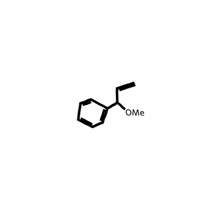 [CH2]OC(C=C)c1ccccc1